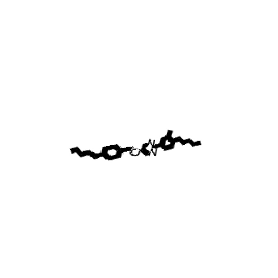 CCCCCc1ccc(-c2ncc(OCC3CCC(CCCCC)CC3)cn2)cc1C